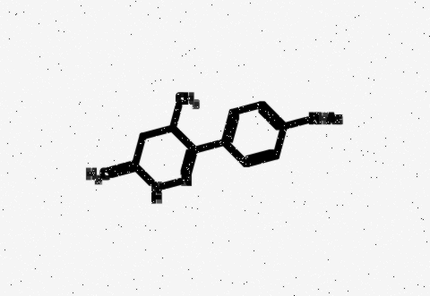 C=C1CC(C)C(c2ccc(NC(C)=O)cc2)=NN1